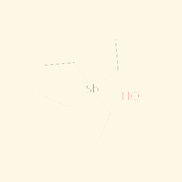 C[CH2][Sb+]([CH2]C)([CH2]C)[CH2]C.[OH-]